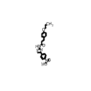 C=CCOc1ccc(/C=C/C(=O)NC2=NC(c3ccc([N+](=O)O)cc3)CS2)cc1